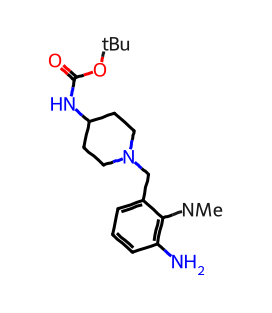 CNc1c(N)cccc1CN1CCC(NC(=O)OC(C)(C)C)CC1